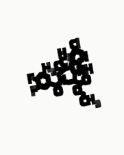 CCOC(=O)C1=CN(C(=O)c2ccc(F)c(F)c2)CC(C)(C)c2c1[nH]c1ncc(Cl)cc21